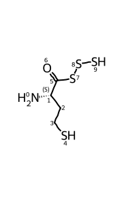 N[C@@H](CCS)C(=O)SSS